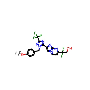 COc1ccc(Cn2nc(C(F)(F)F)nc2-c2cn3ccc(C(F)(F)CO)nc3n2)cc1